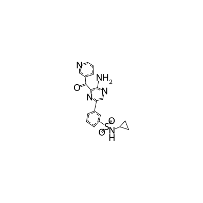 Nc1ncc(-c2cccc(S(=O)(=O)NC3CC3)c2)nc1C(=O)c1cccnc1